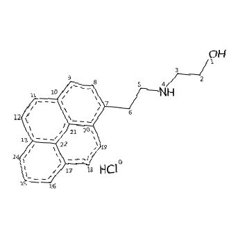 Cl.OCCNCCc1ccc2ccc3cccc4ccc1c2c34